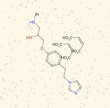 CC(C)NCC(O)COc1ccc(CCn2ccnc2)cc1.O=C(O)/C=C\C(=O)O.O=C(O)/C=C\C(=O)O